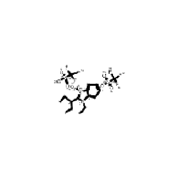 CCC(CC)c1n(CC)c2ccccc2[n+]1[Cu+2].O=S(=O)([O-])C(F)(F)F.O=S(=O)([O-])C(F)(F)F